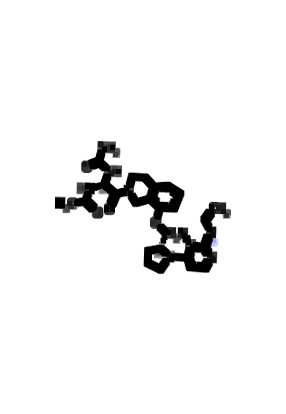 C=C/N=c1/nccc(N2CCC[C@@H]2COc2cccc3c2CN(C(=O)[C@@H](NC(C)=O)NC(N)=O)CC3)n1N